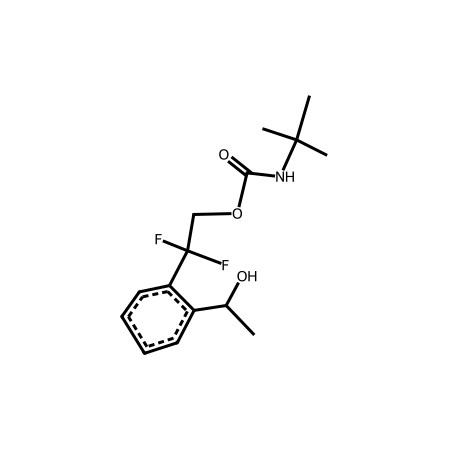 CC(O)c1ccccc1C(F)(F)COC(=O)NC(C)(C)C